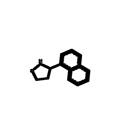 c1ccc2c(C3CCON3)cccc2c1